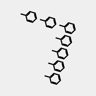 Cc1ccccc1.Cc1ccccc1.Cc1ccccc1.Cc1ccccc1.Cc1ccccc1.Cc1ccccc1.Cc1ccccc1